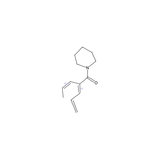 C=C/C=C(\C=C/C)C(=O)N1CCCCC1